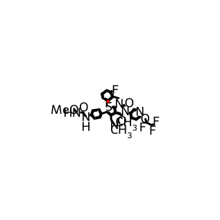 CONC(=O)Nc1ccc(-c2sc3c(c2CN(C)C)c(=O)n(-c2ccc(OC(F)C(F)F)nc2)c(=O)n3Cc2c(F)cccc2F)cc1